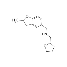 CC1Cc2cc(CNCC3CCCO3)ccc2O1